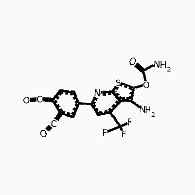 NC(=O)Oc1sc2nc(-c3ccc(=C=O)c(=C=O)c3)cc(C(F)(F)F)c2c1N